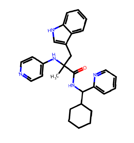 CC(Cc1c[nH]c2ccccc12)(Nc1ccncc1)C(=O)NC(c1ccccn1)C1CCCCC1